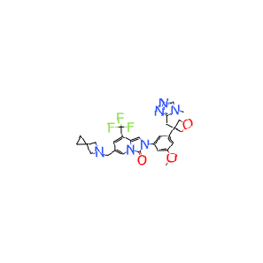 COc1cc(-n2cc3c(C(F)(F)F)cc(CN4CC5(CC5)C4)cn3c2=O)cc(C2(Cc3nncn3C)COC2)c1